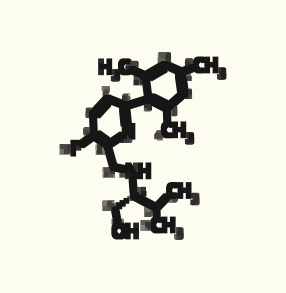 Cc1cc(C)c(-c2ccc(F)c(CN[C@@H](CO)C(C)C)n2)c(C)c1